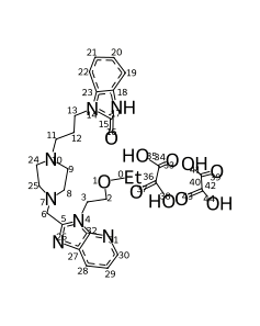 CCOCCn1c(CN2CCN(CCCn3c(=O)[nH]c4ccccc43)CC2)nc2cccnc21.O=C(O)C(=O)O.O=C(O)C(=O)O